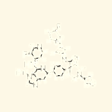 CC(C)n1cnc2cc(-c3ccc4c(c3)N([C@H]3C[C@@H](N5CC[C@H](F)C5)C3)C(=O)C43CCN(C4COC4)CC3)nc(Nc3ccncc3F)c21